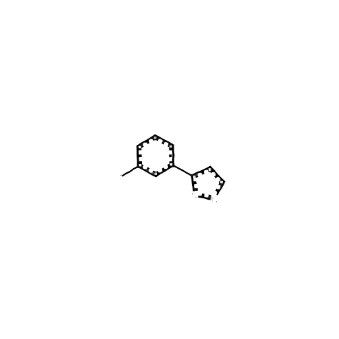 Clc1[c]ccc(-c2ccn[nH]2)c1